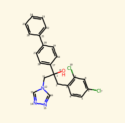 OC(Cc1ccc(Cl)cc1Cl)(Cn1cnnc1)c1ccc(-c2ccccc2)cc1